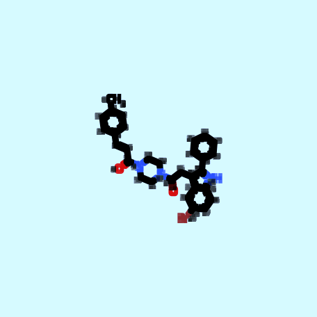 Cc1ccc(/C=C/C(=O)N2CCN(C(=O)Cc3c(-c4ccccc4)[nH]c4ccc(Br)cc34)CC2)cc1